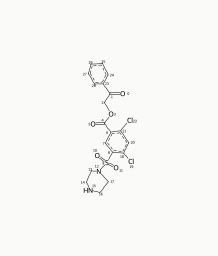 O=C(COC(=O)c1cc(S(=O)(=O)N2CCNCC2)c(Cl)cc1Cl)c1ccccc1